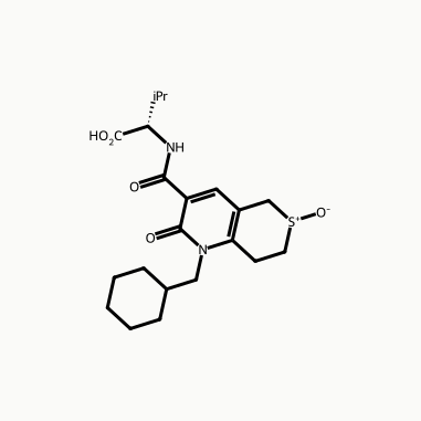 CC(C)[C@H](NC(=O)c1cc2c(n(CC3CCCCC3)c1=O)CC[S+]([O-])C2)C(=O)O